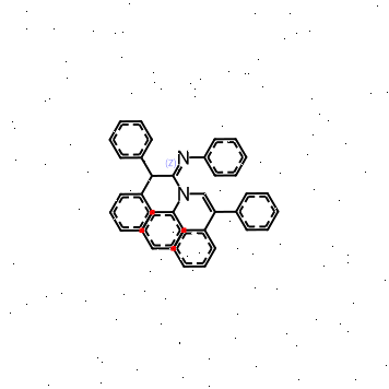 C(=C(c1ccccc1)c1ccccc1)N(/C(=N\c1ccccc1)C(c1ccccc1)c1ccccc1)c1ccccc1